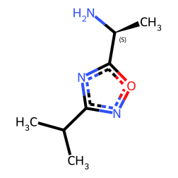 CC(C)c1noc([C@H](C)N)n1